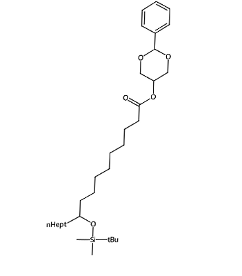 CCCCCCCC(CCCCCCCCC(=O)OC1COC(c2ccccc2)OC1)O[Si](C)(C)C(C)(C)C